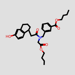 CCCCOC(=O)CN(Cc1cccc(C(=O)OCCCC)c1)C(=O)CC1CCCc2cc(O)ccc21